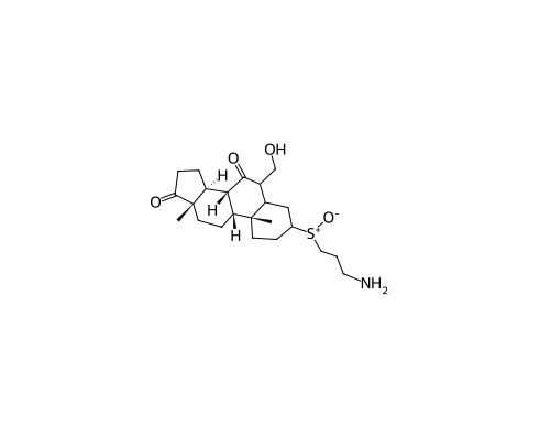 C[C@]12CCC([S+]([O-])CCCN)CC1C(CO)C(=O)[C@@H]1[C@H]2CC[C@]2(C)C(=O)CC[C@@H]12